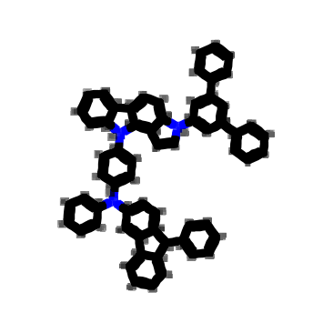 c1ccc(-c2cc(-c3ccccc3)cc(-n3ccc4c3ccc3c5ccccc5n(-c5ccc(N(c6ccccc6)c6ccc7c(c6)-c6ccccc6C7c6ccccc6)cc5)c34)c2)cc1